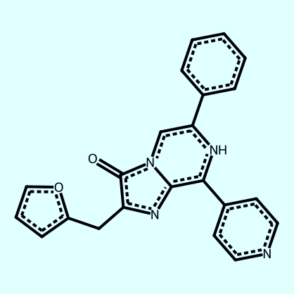 O=c1c(Cc2ccco2)nc2c(-c3ccncc3)[nH]c(-c3ccccc3)cn1-2